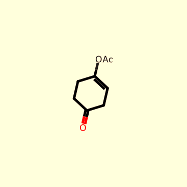 CC(=O)OC1=CCC(=O)CC1